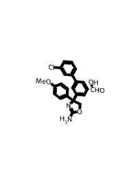 COc1ccc(C2(c3cccc(-c4cccc(Cl)c4)c3)COC(N)=N2)cc1.O=CO